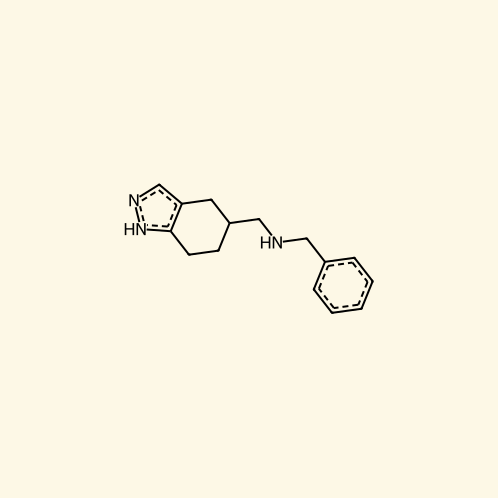 c1ccc(CNCC2CCc3[nH]ncc3C2)cc1